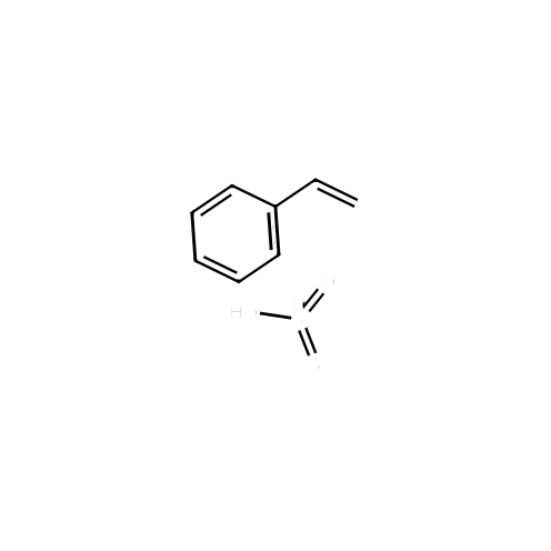 C=Cc1ccccc1.O=[SH](O)=S